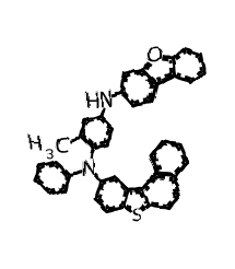 Cc1cc(Nc2ccc3c(c2)oc2ccccc23)ccc1N(c1ccccc1)c1ccc2sc3ccc4ccccc4c3c2c1